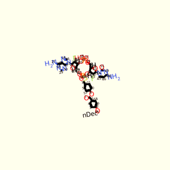 CCCCCCCCCCOc1ccc(C(=O)Oc2ccc(CSP3(=O)OC[C@H]4O[C@@H](n5cnc6c(N)ncnc65)[C@H](F)[C@@H]4OP(=O)(O)OC[C@H]4O[C@@H](n5ccc(N)nc5=O)[C@H](F)[C@@H]4O3)cc2)cc1